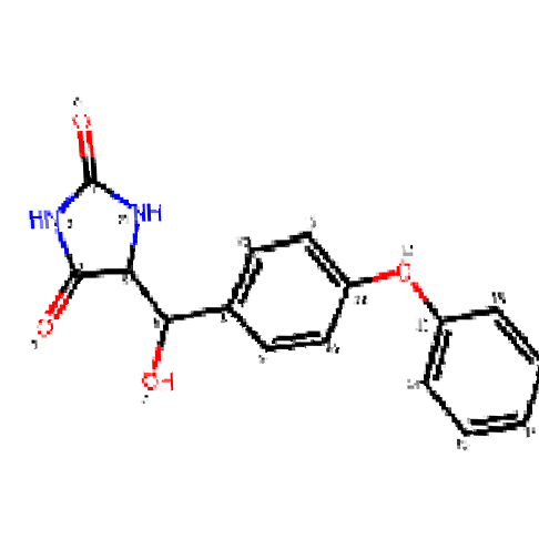 O=C1NC(=O)C(C(O)c2ccc(Oc3ccccc3)cc2)N1